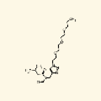 CCCOCCOCCOCCn1cc(CN(C=O)C(=O)CC(C)C)nn1